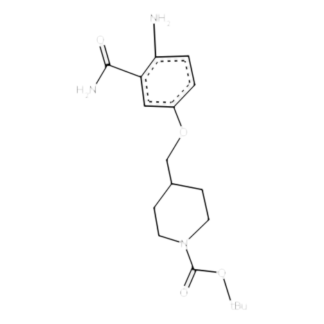 CC(C)(C)OC(=O)N1CCC(COc2ccc(N)c(C(N)=O)c2)CC1